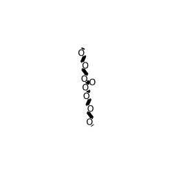 COCCOCCOCOC(=O)OCCOCCOC